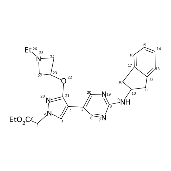 CCOC(=O)Cn1cc(-c2cnc(NC3Cc4ccccc4C3)nc2)c(OC2CN(CC)C2)n1